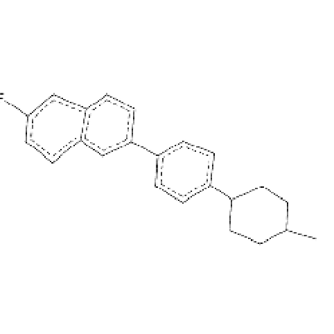 CC1CCC(c2ccc(-c3ccc4cc(F)ccc4c3)cc2)CC1